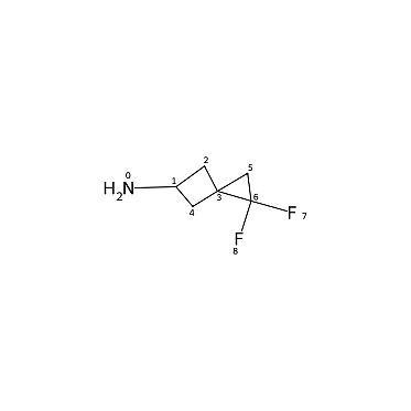 NC1CC2(C1)CC2(F)F